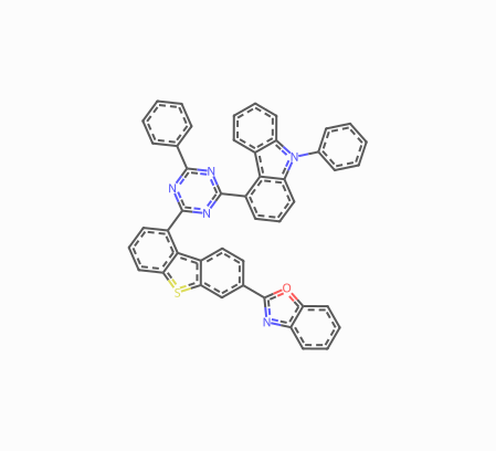 c1ccc(-c2nc(-c3cccc4sc5cc(-c6nc7ccccc7o6)ccc5c34)nc(-c3cccc4c3c3ccccc3n4-c3ccccc3)n2)cc1